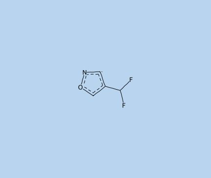 FC(F)c1[c]noc1